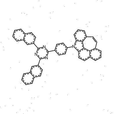 C1=Cc2cccc3c2c2c4c1cccc4ccc2n3-c1ccc(-c2nc(-c3ccc4ccccc4c3)nc(-c3ccc4ccccc4c3)n2)cc1